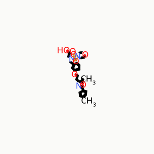 Cc1ccc(-c2nc(CCOc3cccc(CN(CC(=O)O)S(=O)(=O)N4CCOCC4)c3)c(C)o2)cc1